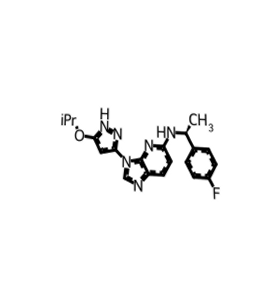 CC(C)Oc1cc(-n2cnc3ccc(N[C@@H](C)c4ccc(F)cc4)nc32)n[nH]1